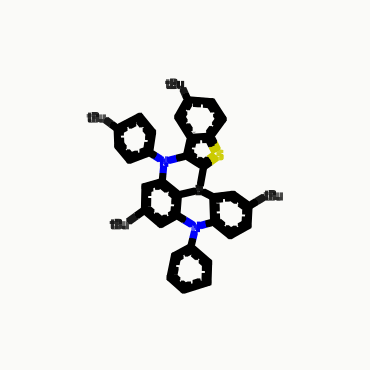 CC(C)(C)c1ccc(N2c3cc(C(C)(C)C)cc4c3B(c3cc(C(C)(C)C)ccc3N4c3ccccc3)c3sc4ccc(C(C)(C)C)cc4c32)cc1